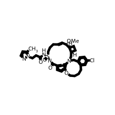 CO[C@H]1/C=C/CCC[S@@](=O)(NC(=O)CCn2nccc2C)=NC(=O)c2ccc3c(c2)N(Cc2ccc(Cl)cc2CCCCO3)C[C@@H]2CC[C@H]21